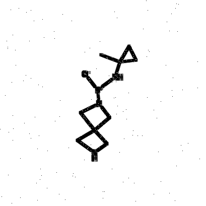 CC1(N[S+]([O-])N2CC3(CNC3)C2)CC1